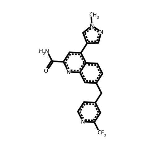 Cn1cc(-c2cc(C(N)=O)nc3cc(Cc4ccnc(C(F)(F)F)c4)ccc23)cn1